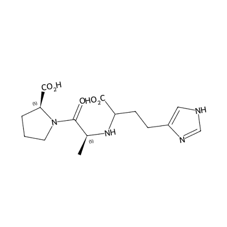 C[C@H](NC(CCc1c[nH]cn1)C(=O)O)C(=O)N1CCC[C@H]1C(=O)O